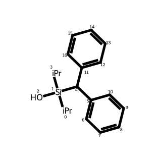 CC(C)[Si](O)(C(C)C)C(c1ccccc1)c1ccccc1